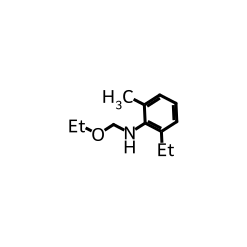 CCOCNc1c(C)cccc1CC